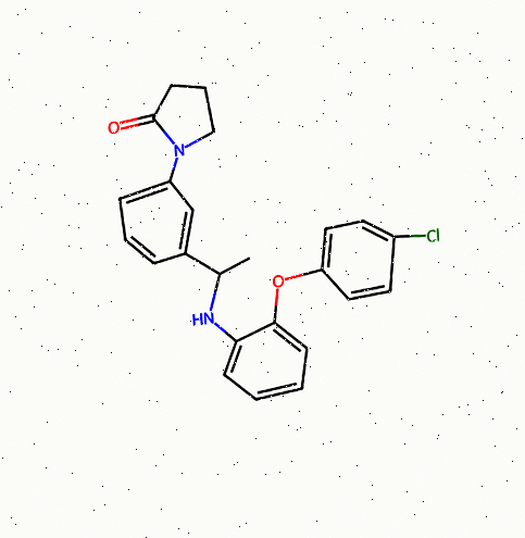 CC(Nc1ccccc1Oc1ccc(Cl)cc1)c1cccc(N2CCCC2=O)c1